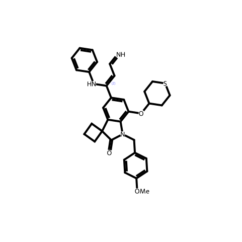 COc1ccc(CN2C(=O)C3(CCC3)c3cc(/C(=C/C=N)Nc4ccccc4)cc(OC4CCSCC4)c32)cc1